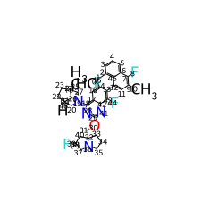 C#Cc1cccc2c(F)c(C)cc(-c3c(F)cc4c(N5C[C@H]6CC[C@@](C)(C6)C5)nc(OCC56CCCN5C[C@H](F)C6)nc4c3F)c12